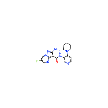 Nc1nn2cc(F)cnc2c1C(=O)Nc1cnccc1N1CCCCC1